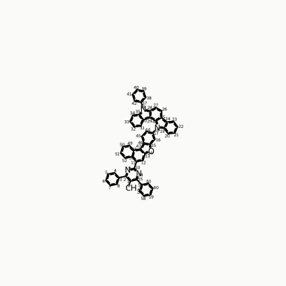 Cc1c(-c2ccccc2)nc(-c2cc3oc4cc(-n5c6ccccc6c6ccc7c(c8ccccc8n7-c7ccccc7)c65)ccc4c3c3ccccc23)nc1-c1ccccc1